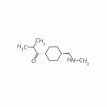 CNC[C@H]1CC[C@H](C(=O)C(C)C)CC1